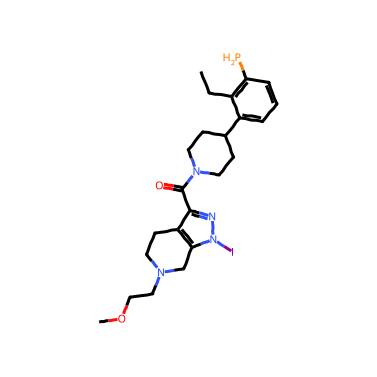 CCc1c(P)cccc1C1CCN(C(=O)c2nn(I)c3c2CCN(CCOC)C3)CC1